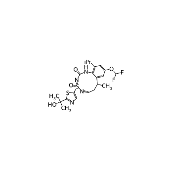 CC(C)c1cc(OC(F)F)cc2c1NC(=O)N=S(=O)(c1cnc(C(C)(C)O)s1)/N=C\CC2C